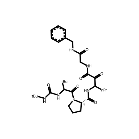 CCCC(NC(=O)[C@@H]1CCCN1C(=O)C(NC(=O)NC(C)(C)C)C(C)(C)C)C(=O)C(=O)NCC(=O)NCc1ccccc1